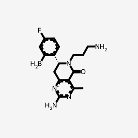 Bc1cc(F)ccc1[C@H]1Cc2nc(N)nc(C)c2C(=O)N1CCCN